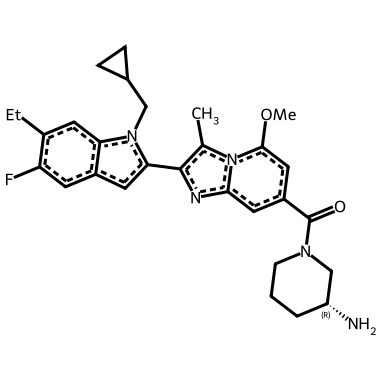 CCc1cc2c(cc1F)cc(-c1nc3cc(C(=O)N4CCC[C@@H](N)C4)cc(OC)n3c1C)n2CC1CC1